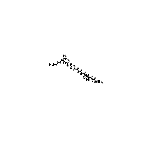 NCCCCC(N)OC(=O)CCCCCCCCCCC(=O)OC(N)CCCCN